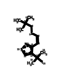 CC(C)(C)CS/C=C\c1nscc1C(C)(C)I